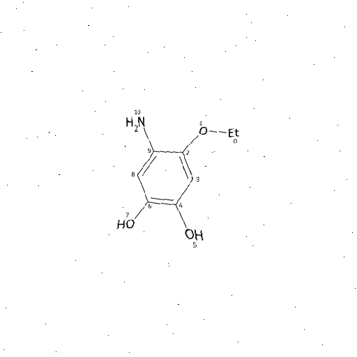 CCOc1cc(O)c(O)cc1N